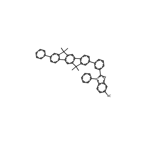 [C-]#[N+]c1ccc2c(c1)nc(-c1cccc(-c3ccc4c(c3)C(C)(C)c3cc5c(cc3-4)C(C)(C)c3cc(-c4ccccc4)ccc3-5)c1)n2-c1ccccc1